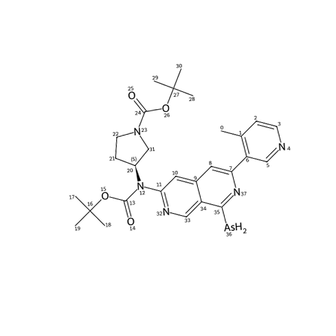 Cc1ccncc1-c1cc2cc(N(C(=O)OC(C)(C)C)[C@H]3CCN(C(=O)OC(C)(C)C)C3)ncc2c([AsH2])n1